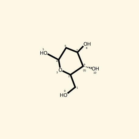 OCC1OC(O)CC(O)[C@@H]1O